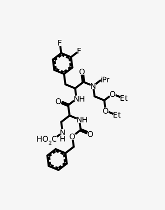 CCOC(CN(C(=O)C(Cc1ccc(F)c(F)c1)NC(=O)C(CNC(=O)O)NC(=O)OCc1ccccc1)C(C)C)OCC